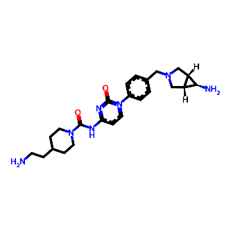 NCCC1CCN(C(=O)Nc2ccn(-c3ccc(CN4C[C@@H]5[C@@H](N)[C@@H]5C4)cc3)c(=O)n2)CC1